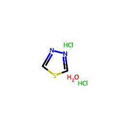 Cl.Cl.O.c1nncs1